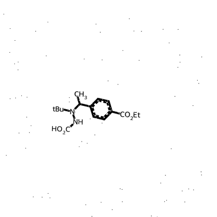 CCOC(=O)c1ccc(C(C)N(NC(=O)O)C(C)(C)C)cc1